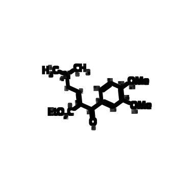 CCOC(=O)C(=CCN(C)C)C(=O)c1ccc(OC)c(OC)c1